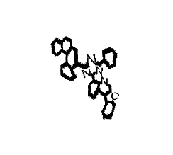 c1ccc(-c2nc(-c3cc4ccc5ccccc5c4c4ccccc34)nc(-c3cccc4c3ncc3oc5ccccc5c34)n2)cc1